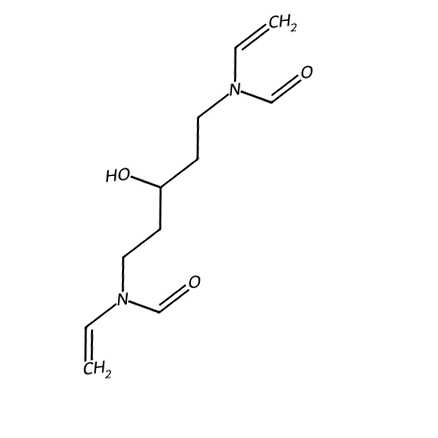 C=CN(C=O)CCC(O)CCN(C=C)C=O